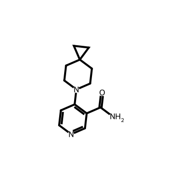 NC(=O)c1cnccc1N1CCC2(CC1)CC2